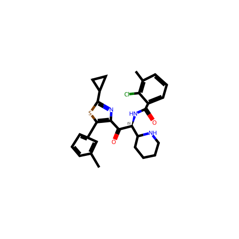 Cc1cccc(-c2sc(C3CC3)nc2C(=O)[C@@H](NC(=O)c2cccc(C)c2Cl)C2CCCCN2)c1